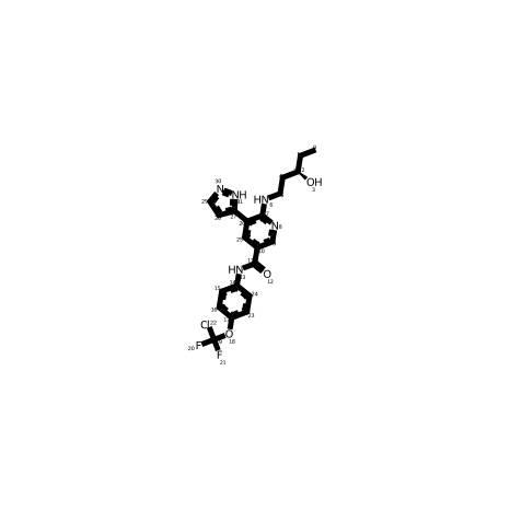 CC[C@@H](O)CCNc1ncc(C(=O)Nc2ccc(OC(F)(F)Cl)cc2)cc1-c1ccn[nH]1